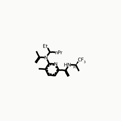 C=C(N[C@H](C)C(F)(F)F)c1ccc(C)c(N(C(=C)C)C(CC)CCC)n1